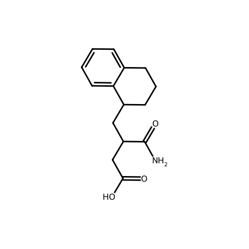 NC(=O)C(CC(=O)O)CC1CCCc2ccccc21